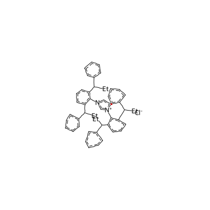 CCC(c1ccccc1)c1cccc(C(CC)c2ccccc2)c1-n1cc[n+](-c2c(C(CC)c3ccccc3)cccc2C(CC)c2ccccc2)c1.[Cl-]